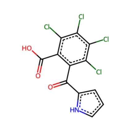 O=C(O)c1c(Cl)c(Cl)c(Cl)c(Cl)c1C(=O)c1ccc[nH]1